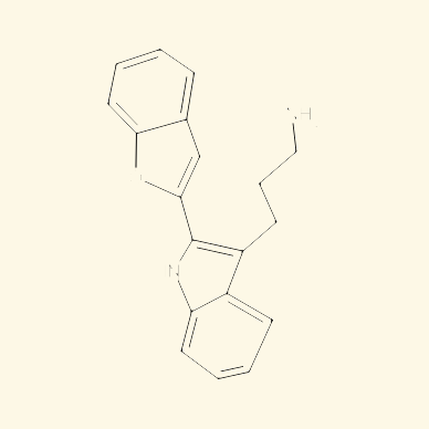 NCCCc1c(-c2cc3ccccc3o2)[nH]c2ccccc12